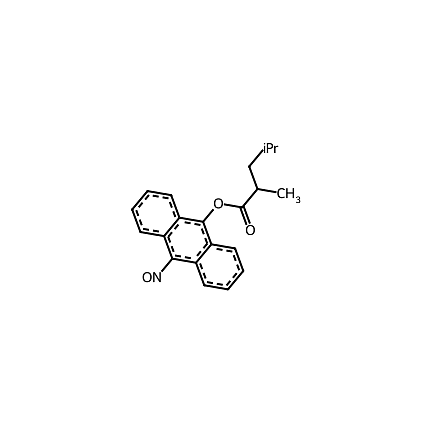 CC(C)CC(C)C(=O)Oc1c2ccccc2c(N=O)c2ccccc12